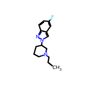 CCCN1CCCC(n2cc3cc(F)ccc3n2)C1